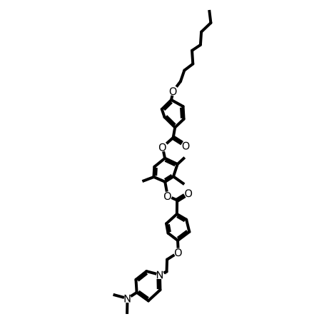 CCCCCCCCOc1ccc(C(=O)Oc2cc(C)c(OC(=O)c3ccc(OCC[n+]4ccc(N(C)C)cc4)cc3)c(C)c2C)cc1